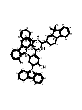 Cc1cccc2c3cccc(C)c3n(C3CC(n4c5c(c6ccccc64)CCC=C5)C(C#N)C=C3C3NC(C4=CC=CCC4)NC(C4C=C5C(CC4)C4CC=CC=C4C5(C)C)N3)c12